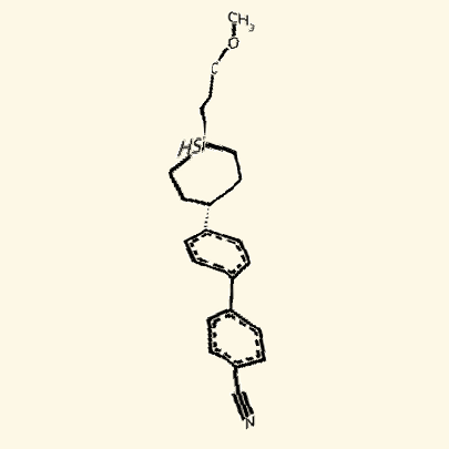 COCCC[Si@H]1CC[C@H](c2ccc(-c3ccc(C#N)cc3)cc2)CC1